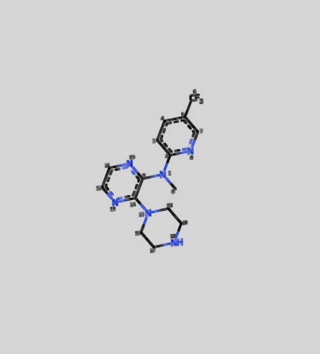 CN(c1ccc(C(F)(F)F)cn1)c1nccnc1N1CCNCC1